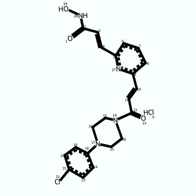 Cl.O=C(C=Cc1cccc(C=CC(=O)N2CCN(c3ccc(Cl)cc3)CC2)n1)NO